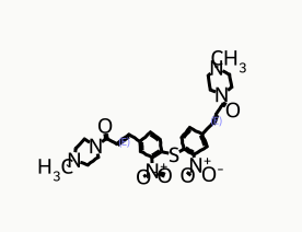 CN1CCN(C(=O)/C=C/c2ccc(Sc3ccc(/C=C/C(=O)N4CCN(C)CC4)cc3[N+](=O)[O-])c([N+](=O)[O-])c2)CC1